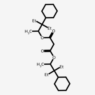 CCC(CC)(C1CCCCC1)C(C)OC(=O)CC(=O)OC(C)C(CC)(CC)C1CCCCC1